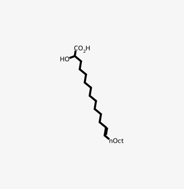 CCCCCCCCC=CCCCCCCCCCCC(O)C(=O)O